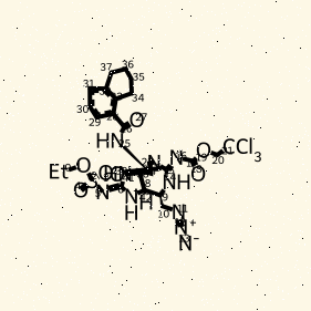 CCOS(=O)(=O)/N=C1/N[C@H]2[C@H](CN=[N+]=[N-])N/C(=N\C(=O)OCC(Cl)(Cl)Cl)N3C[C@@H](NC(=O)c4cccc5c4CCCC5)C(=O)[C@]23N1